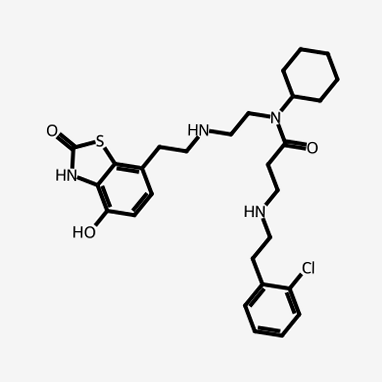 O=C(CCNCCc1ccccc1Cl)N(CCNCCc1ccc(O)c2[nH]c(=O)sc12)C1CCCCC1